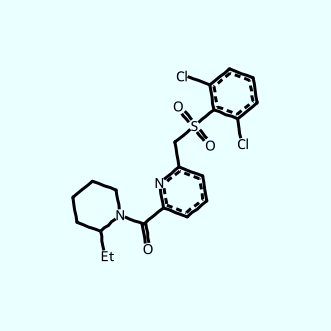 CCC1CCCCN1C(=O)c1cccc(CS(=O)(=O)c2c(Cl)cccc2Cl)n1